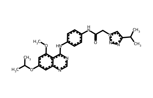 COc1cc(OC(C)C)cc2ncnc(Nc3ccc(NC(=O)Cn4cc(C(C)C)nn4)cc3)c12